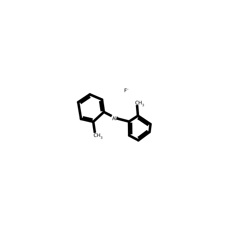 Cc1cccc[c]1[Al+][c]1ccccc1C.[F-]